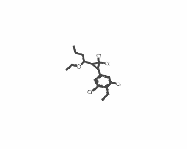 CCCC(OCC)C1C(c2cc(Cl)c(CC)c(Cl)c2)C1(Cl)Cl